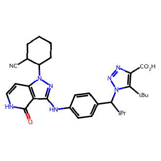 CC(C)C(c1ccc(Nc2nn(C3CCCCC3C#N)c3cc[nH]c(=O)c23)cc1)n1nnc(C(=O)O)c1C(C)(C)C